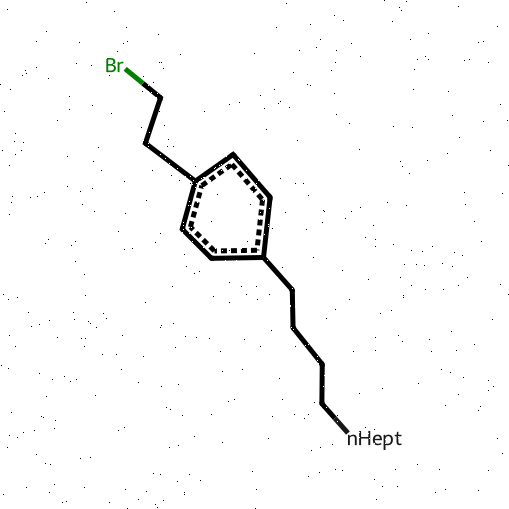 CCCCCCCCCCCc1ccc(CCBr)cc1